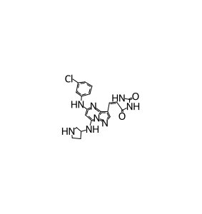 O=C1NC(=O)/C(=C\c2cnn3c(NC4CCNC4)cc(Nc4cccc(Cl)c4)nc23)N1